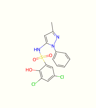 Cc1cc(NS(=O)(=O)c2cc(Cl)cc(Cl)c2O)n(-c2ccccc2)n1